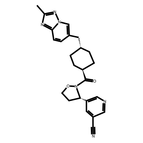 Cc1nc2ccc(C[C@H]3CC[C@H](C(=O)N4OCC[C@H]4c4cncc(C#N)c4)CC3)cn2n1